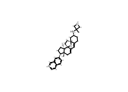 CC1(N[C@H]2CCC3=CC4=CC[C@]5(C)[C@@H](c6ccc7ccncc7c6)CC[C@H]5[C@@]45CC[C@]3(C2)O5)COC1